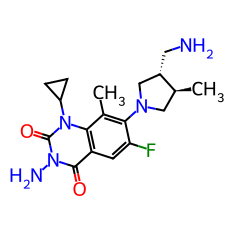 Cc1c(N2C[C@H](CN)[C@@H](C)C2)c(F)cc2c(=O)n(N)c(=O)n(C3CC3)c12